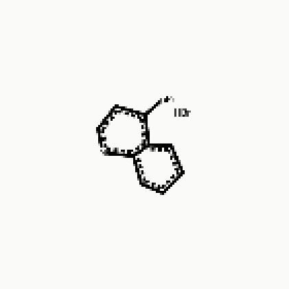 Br.CCCc1ccnc2ccccc12